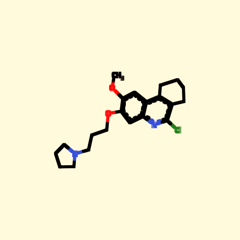 COc1cc2c3c(c(Cl)nc2cc1OCCCN1CCCC1)CCCC3